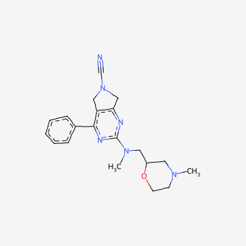 CN1CCOC(CN(C)c2nc3c(c(-c4ccccc4)n2)CN(C#N)C3)C1